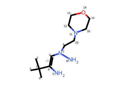 CC(C)(C)/C(N)=C/N(N)CCN1CCOCC1